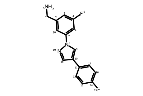 NCc1cc(F)cc(-n2cc(-c3ccc(F)cc3)cn2)c1